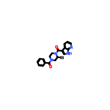 CCC1CN(C(=O)c2ccccc2)CCN1C(=O)c1c[nH]c2ncccc12